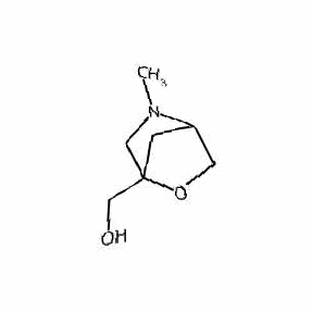 CN1CC2(CO)CC1CO2